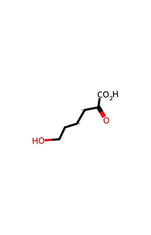 O=C(O)C(=O)[CH][CH]CCO